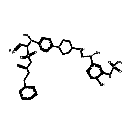 C=CC(N(CCCC)c1ccc(N2CCC(NC[C@H](O)c3ccc(O)c(NS(C)(=O)=O)c3)CC2)cc1)S(=O)(=O)OC(=O)CCc1ccccc1